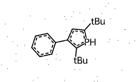 CC(C)(C)c1cc(-c2ccccc2)c(C(C)(C)C)[pH]1